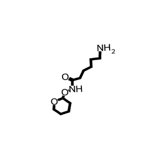 NCCCCCC(=O)NOC1CCCCO1